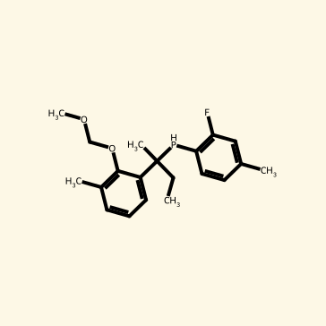 CCC(C)(Pc1ccc(C)cc1F)c1cccc(C)c1OCOC